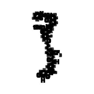 Cc1c(OCCCN2CCN(CC(=O)Nc3ccc4c(C5CCC(=O)NC5=O)nn(C)c4c3)[C@@H](C(F)(F)F)C2)cccc1-c1ccc(N2CCc3cccc(C(=O)Nc4nc5ccccc5s4)c3C2)nc1C(=O)OC(C)(C)C